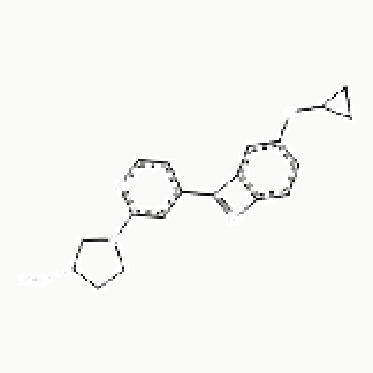 CO[C@H]1CCN(c2cc(C3=Nc4ccc(OC5CC5)cc43)ccn2)C1